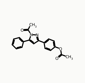 CC(=O)Oc1ccc(-c2cc(-c3ccccc3)n(C(C)=O)n2)cc1